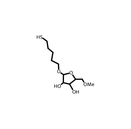 COCC1OC(OCCCCCS)C(O)C1O